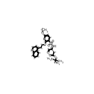 COc1ccc(S(=O)(=O)N[C@H](C=O)CC(=O)OC(C)(C)C)c(OCCc2ccnc3ccccc23)n1